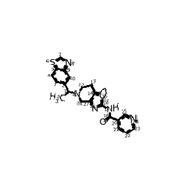 CC(c1ccc2scnc2c1)N1CCc2oc(NC(=O)c3cccnc3)nc2C1